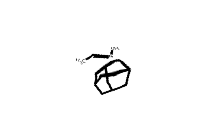 C1C2CC3CC1CC(C2)C3.CC=NO